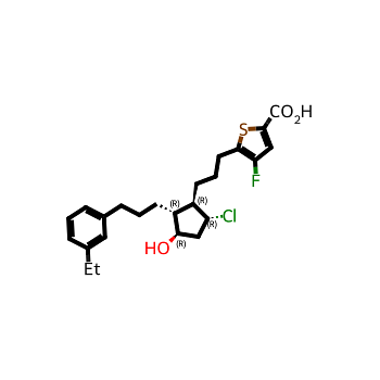 CCc1cccc(CCC[C@@H]2[C@@H](CCCc3sc(C(=O)O)cc3F)[C@H](Cl)C[C@H]2O)c1